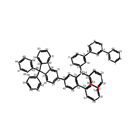 c1ccc(-c2cccc(-c3cccc(N(c4ccccc4)c4cc(-c5ccc6c(c5)-c5ccccc5C6(c5ccccc5)c5ccccc5)ccc4-c4ccccc4)c3)c2)cc1